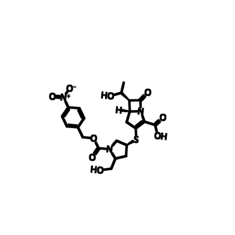 CC(O)[C@H]1C(=O)N2C(C(=O)O)=C(S[C@H]3CC(CO)N(C(=O)OCc4ccc([N+](=O)[O-])cc4)C3)C[C@H]12